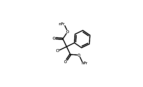 CCCOC(=O)C(Cl)(C(=O)OCCC)c1ccccc1